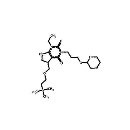 CCn1c2c(c(=O)n(CCCOC3CCCCO3)c1=O)N(COCCS(C)(C)C)CN2